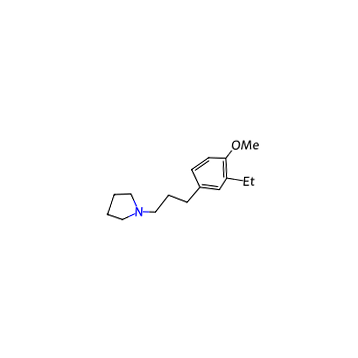 CCc1cc(CCCN2CCCC2)ccc1OC